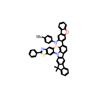 CC(C)(C)c1ccc(N2B3c4cc5nc(-c6ccccc6)sc5cc4-n4c5cc6c(cc5c5ccc(c3c54)-c3cc4oc5ccccc5c4cc32)-c2ccccc2C6(C)C)cc1